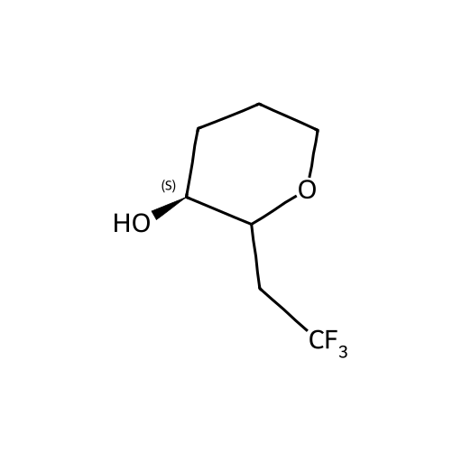 O[C@H]1CCCOC1CC(F)(F)F